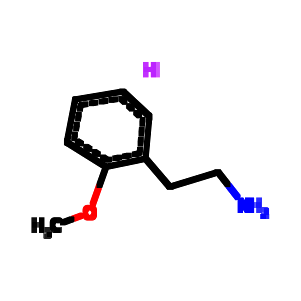 COc1ccccc1CCN.I